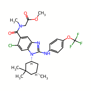 COC(=O)CN(C)C(=O)c1cc2nc(Nc3ccc(OC(F)(F)F)cc3)n([C@@H]3C[C@H](C)CC(C)(C)C3)c2cc1Cl